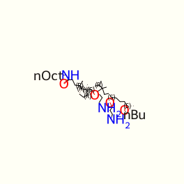 CCCCCCCCNC(=O)CC[C@@H](C)[C@H]1CC[C@@H](C)[C@]1(C)[C@H](C[C@@H](C)C(C)(C)CC[C@H](CCC[C@H](C)OCCCC)OCCCN)OCCCN